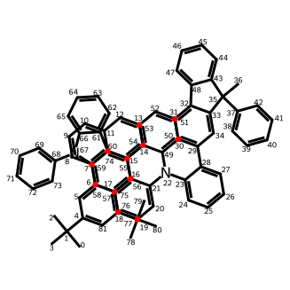 CC(C)(C)c1cc(-c2cccc3cccc(-c4ccccc4N(c4ccccc4-c4ccc5c(c4)C(C)(c4ccccc4)c4ccccc4-5)c4ccccc4-c4cccc5c4c4ccccc4n5-c4ccccc4)c23)cc(C(C)(C)C)c1